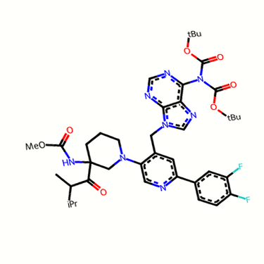 COC(=O)NC1(C(=O)C(C)C(C)C)CCCN(c2cnc(-c3ccc(F)c(F)c3)cc2Cn2cnc3c(N(C(=O)OC(C)(C)C)C(=O)OC(C)(C)C)ncnc32)C1